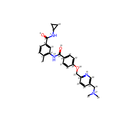 Cc1ccc(C(=O)NC2CC2)cc1NC(=O)c1ccc(OCc2ccc(CN(C)C)cn2)cc1